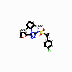 COc1cccc(OC)c1-n1c(NS(=O)(=O)C2C[C@H]2c2ccc(Cl)cc2)nnc1-c1ccco1